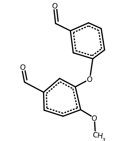 COc1ccc(C=O)cc1Oc1cccc(C=O)c1